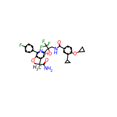 C[C@]1(C(N)=O)COc2c1cc(C(O)(CNC(=O)c1ccc(OC3CC3)c(C3CC3)c1)C(F)(F)F)nc2-c1ccc(F)cc1